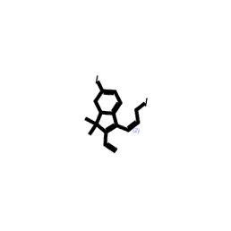 C=CC1=C(/C=C\CI)C2=CC=C(I)CC2C1(C)C